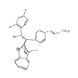 CC/C(=C(/c1ccc(/C=C/C(=O)O)cc1)c1[nH]c2ccccc2c1C)c1ccc(F)cc1Cl